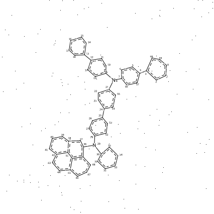 c1ccc(-c2ccc(N(c3ccc(-c4ccccc4)cc3)c3ccc(-c4ccc(N(c5ccccc5)c5cc6cccc7ccc8cccc5c8c76)cc4)cc3)cc2)cc1